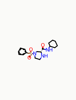 O=C(NC1CCCCC1)[C@H]1CN(S(=O)(=O)c2ccccc2)CCN1